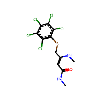 CNC(=O)/C=C(/CSc1c(Cl)c(Cl)c(Cl)c(Cl)c1Cl)NC